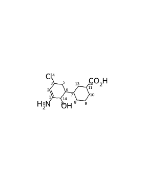 NC1=CC(Cl)CC(C2CCCC(C(=O)O)C2)C1O